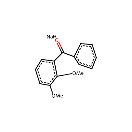 COc1cccc(C(=O)c2ccccc2)c1OC.[NaH]